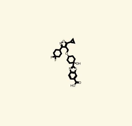 O=C(O)c1ccc2nc([C@]3(O)CC[C@@H](OCc4c(C5CCC(F)(F)CC5)noc4C4CC4)CC3)sc2c1